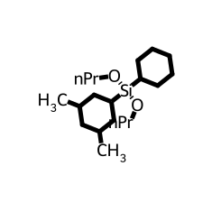 CCCO[Si](OCCC)(C1CCCCC1)C1CC(C)CC(C)C1